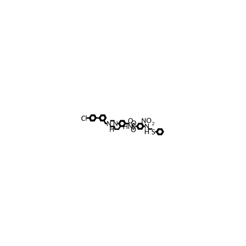 O=C(NS(=O)(=O)c1ccc(NCCSc2ccccc2)c([N+](=O)[O-])c1)c1ccc2c(c1)CC[C@H]1CN(Cc3cccc(-c4ccc(Cl)cc4)c3)CCN21